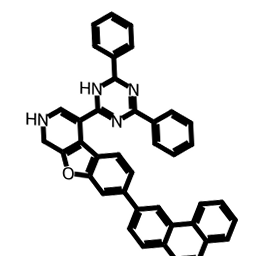 C1=C(C2=NC(c3ccccc3)=NC(c3ccccc3)N2)c2c(oc3cc(-c4ccc5ccc6ccccc6c5c4)ccc23)CN1